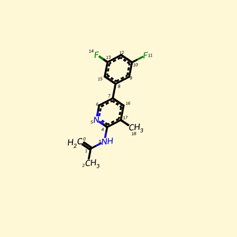 C=C(C)Nc1ncc(-c2cc(F)cc(F)c2)cc1C